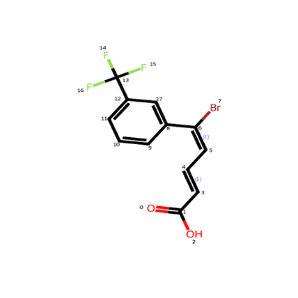 O=C(O)/C=C/C=C(/Br)c1cccc(C(F)(F)F)c1